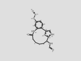 O=CNC1CCCCC(=O)Nc2cc(ON=O)ccc2-c2c[nH]c1n2